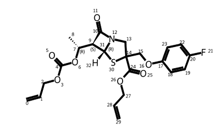 C=CCOC(=O)O[C@H](C)[C@H]1C(=O)N2CC(COc3ccc(F)cc3)(C(=O)OCC=C)S[C@H]12